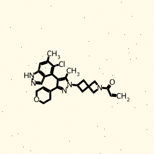 C=CC(=O)N1CC2(CC(n3nc(C4=CCOCC4)c(-c4c(Cl)c(C)cc5[nH]ncc45)c3C)C2)C1